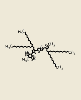 CCCCCCCCCCCCC(CCCCCCCCCC)Cc1cc(C)sc1-c1cc2sc(-c3sc(-c4c5nnsc5c(C)c5nnsc45)cc3CC(CCCCCCCCCC)CCCCCCCCCCCC)cc2s1